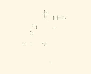 CC(=O)NC(=O)/C(=C\N)c1cc(N2CC3COCC3C2)c(C)nn1